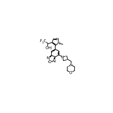 Cn1ncc(C(O)C(F)(F)F)c1-c1cc(N2CC(CN3CCOCC3)C2)c2nonc2c1